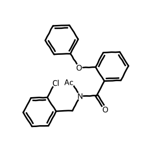 CC(=O)N(Cc1ccccc1Cl)C(=O)c1ccccc1Oc1ccccc1